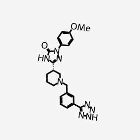 COc1ccc(-n2nc([C@H]3CCCN(Cc4cccc(-c5nn[nH]n5)c4)C3)[nH]c2=O)cc1